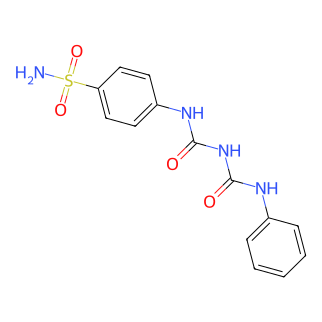 NS(=O)(=O)c1ccc(NC(=O)NC(=O)Nc2ccccc2)cc1